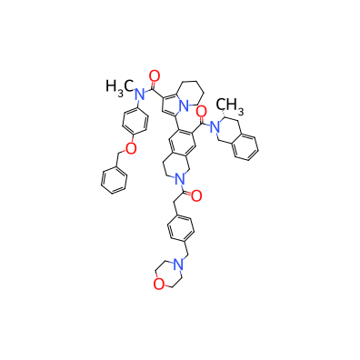 C[C@@H]1Cc2ccccc2CN1C(=O)c1cc2c(cc1-c1cc(C(=O)N(C)c3ccc(OCc4ccccc4)cc3)c3n1CCCC3)CCN(C(=O)Cc1ccc(CN3CCOCC3)cc1)C2